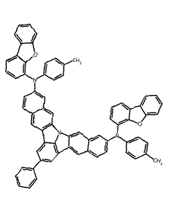 Cc1ccc(N(c2ccc3cc4c5cc(-c6ccccc6)cc6c7cc8ccc(N(c9ccc(C)cc9)c9cccc%10c9oc9ccccc9%10)cc8cc7n(c4cc3c2)c56)c2cccc3c2oc2ccccc23)cc1